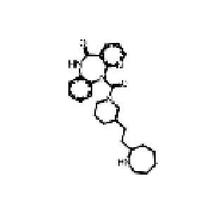 O=C1Nc2ccccc2N(C(=O)N2CCCC(CCC3CCCCCN3)C2)c2ncccc21